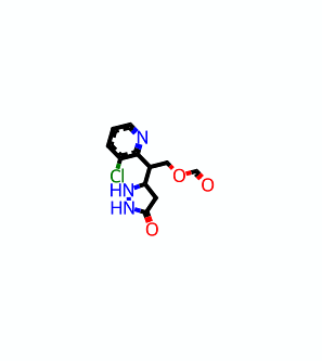 O=COCC(c1ncccc1Cl)C1CC(=O)NN1